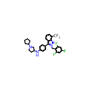 Fc1cc(F)c(Cn2nc3c(C(F)(F)F)cccc3c2-c2ccc(N[C@H]3CCN(C4CCCC4)C3)cc2)c(F)c1